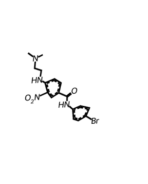 CN(C)CCNc1ccc(C(=O)Nc2ccc(Br)cc2)cc1[N+](=O)[O-]